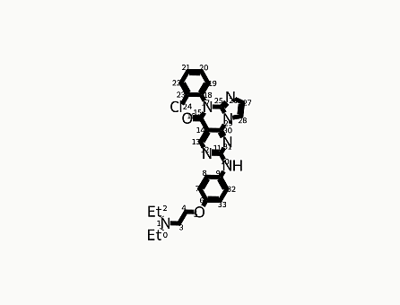 CCN(CC)CCOc1ccc(Nc2ncc3c(=O)n(-c4ccccc4Cl)c4nccn4c3n2)cc1